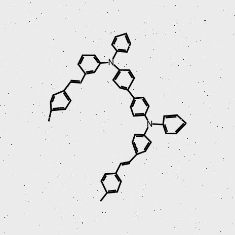 Cc1ccc(C=Cc2ccc(N(c3ccccc3)c3ccc(-c4ccc(N(c5ccccc5)c5cccc(C=Cc6ccc(C)cc6)c5)cc4)cc3)cc2)cc1